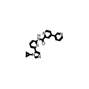 O=C(Nc1cccc(-c2cncn2C2CC2)n1)c1cc(-c2cccnc2)ccn1